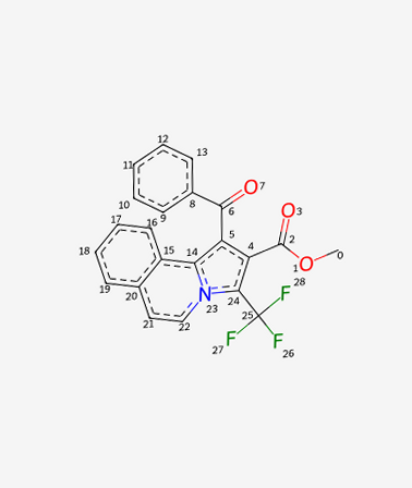 COC(=O)c1c(C(=O)c2ccccc2)c2c3ccccc3ccn2c1C(F)(F)F